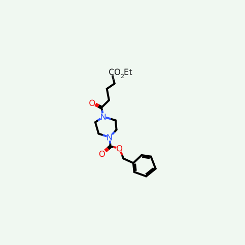 CCOC(=O)CCCC(=O)N1CCN(C(=O)OCc2ccccc2)CC1